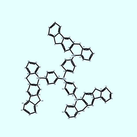 c1ccc2c(c1)Cc1cc3c(cc1-2)Cc1ccccc1N3c1ccc(N(c2ccc(N3c4ccccc4Cc4cc5c(cc43)Cc3ccccc3-5)cc2)c2ccc(N3c4ccccc4Cc4cc5c(cc43)Cc3ccccc3-5)cc2)cc1